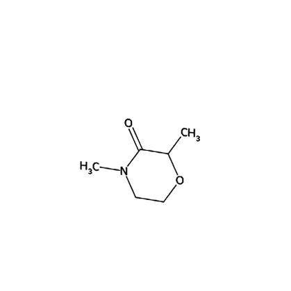 CC1OCCN(C)C1=O